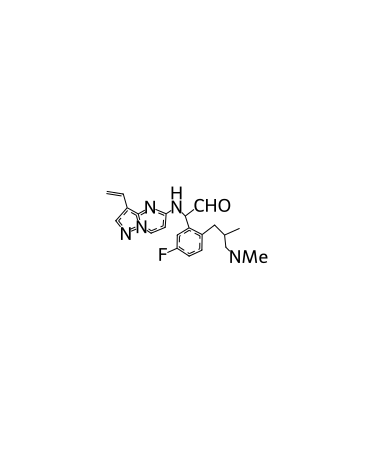 C=Cc1cnn2ccc(NC(C=O)c3cc(F)ccc3CC(C)CNC)nc12